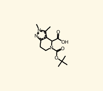 Cc1c2c(nn1C)CCN(C(=O)OC(C)(C)C)C2C(=O)O